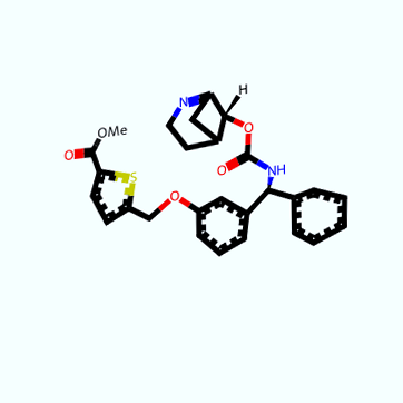 COC(=O)c1ccc(COc2cccc([C@@H](NC(=O)O[C@H]3C4=NCCC3C4)c3ccccc3)c2)s1